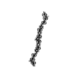 C=CC(=O)OCC(C)OC(=O)CCC(=O)OCCc1ccc(OC(=O)C2CCC(C(=O)Oc3cc(C)c(OC(=O)C4CCC(C(=O)Oc5ccc(CCOC(=O)CCC(=O)OC(C)COC(=O)C=C)cc5)CC4)c(C)c3C)CC2)cc1